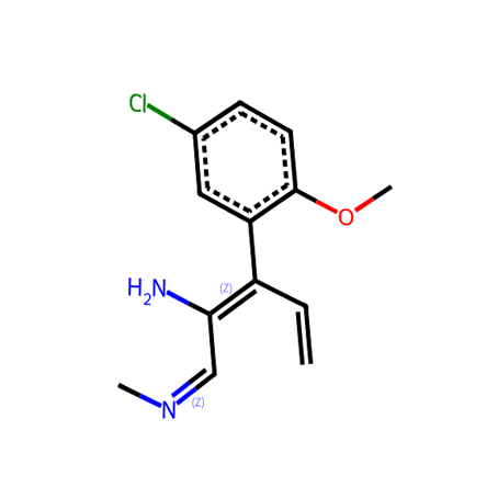 C=C/C(=C(N)\C=N/C)c1cc(Cl)ccc1OC